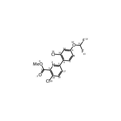 COC(=O)c1nc(-c2ccc(OC(F)F)cc2Cl)ccc1Cl